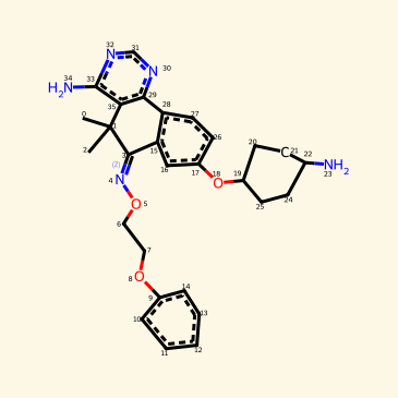 CC1(C)/C(=N/OCCOc2ccccc2)c2cc(OC3CCC(N)CC3)ccc2-c2ncnc(N)c21